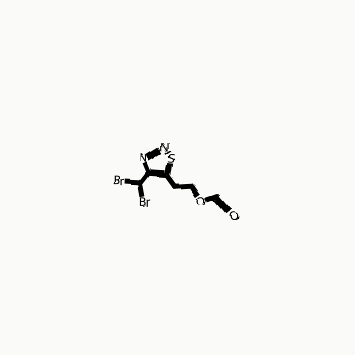 O=COCCc1snnc1C(Br)Br